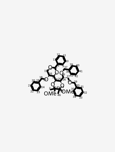 COC1(C)O[C@@H]([C@@H]2OC(c3ccccc3)OC[C@H]2OCc2ccccc2)[C@H]([C@@H](COCc2ccccc2)OCc2ccccc2)OC1(C)OC